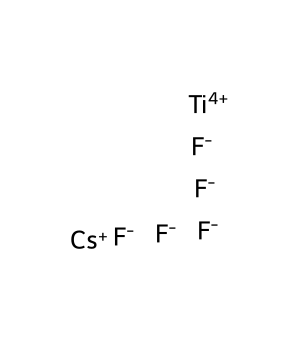 [Cs+].[F-].[F-].[F-].[F-].[F-].[Ti+4]